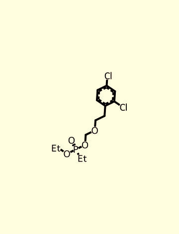 CCOP(=O)(CC)OCOCCc1ccc(Cl)cc1Cl